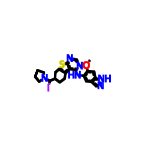 COc1cc2[nH]ncc2cc1Nc1ncnc2sc3c(c12)CCC(C(I)N1CCCC1)C3